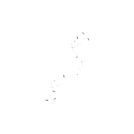 CC(C)(CCC(=O)OCCC(C)(C)OCCC(C)(C)OC(=O)CCC(C)(C)CC(C)(C)C(=O)ON1C(=O)CCC1=O)CC(C)(C)C(=O)ON1C(=O)CCC1=O